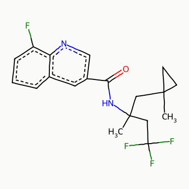 CC1(CC(C)(CC(F)(F)F)NC(=O)c2cnc3c(F)cccc3c2)CC1